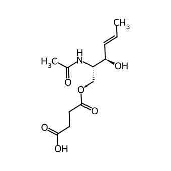 C/C=C/[C@@H](O)[C@H](COC(=O)CCC(=O)O)NC(C)=O